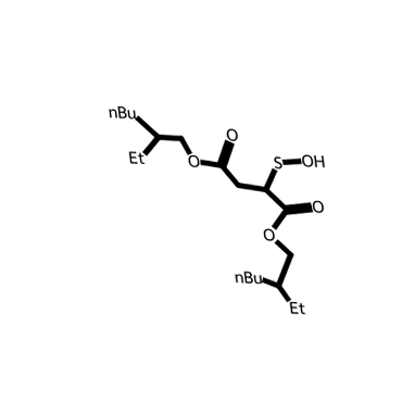 CCCCC(CC)COC(=O)CC(SO)C(=O)OCC(CC)CCCC